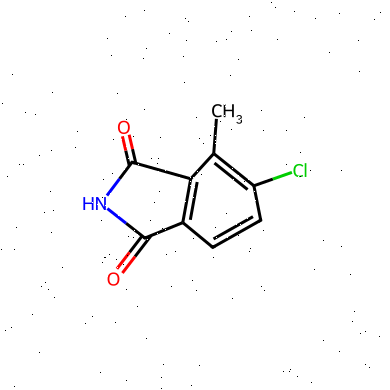 Cc1c(Cl)ccc2c1C(=O)NC2=O